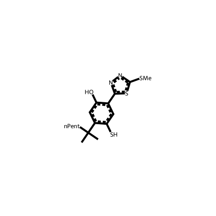 CCCCCC(C)(C)c1cc(O)c(-c2nnc(SC)s2)cc1S